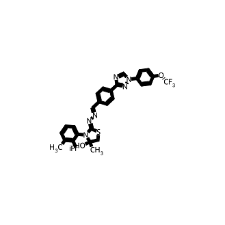 Cc1cccc(N2/C(=N/N=C/c3ccc(-c4ncn(-c5ccc(OC(F)(F)F)cc5)n4)cc3)SCC2(C)O)c1C(C)C